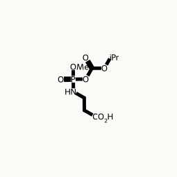 COP(=O)(NCCC(=O)O)OC(=O)OC(C)C